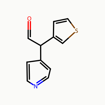 O=CC(c1ccncc1)c1ccsc1